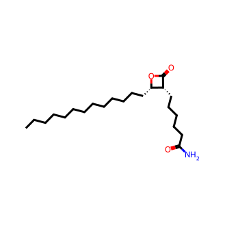 CCCCCCCCCCCCC[C@@H]1OC(=O)[C@@H]1CCCCCC(N)=O